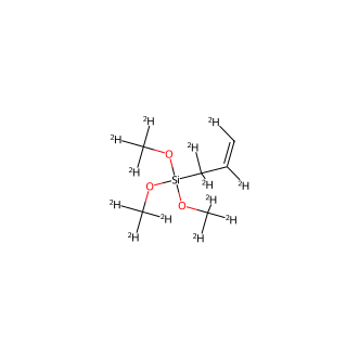 [2H]C=C([2H])C([2H])([2H])[Si](OC([2H])([2H])[2H])(OC([2H])([2H])[2H])OC([2H])([2H])[2H]